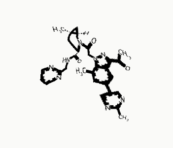 CC(=O)c1nn(CC(=O)N2[C@H](C(=O)NCc3ncccn3)C[C@@]3(C)C[C@@H]23)c2c(C)cc(-c3cnc(C)nc3)cc12